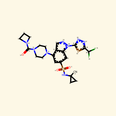 N#CC1(NS(=O)(=O)c2cc(N3CCN(C(=O)N4CCC4)CC3)c3cnn(-c4nnc(C(F)F)s4)c3c2)CC1